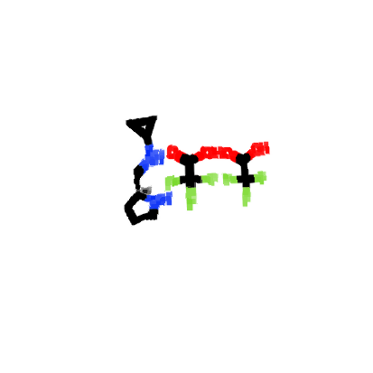 C1CN[C@@H](CNC2CC2)C1.O=C(O)C(F)(F)F.O=C(O)C(F)(F)F